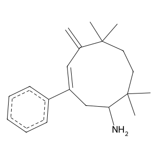 C=C1/C=C(/c2ccccc2)CC(N)C(C)(C)CCC1(C)C